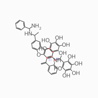 C=C(/C=C(\C=C(/C)c1c(O)c(O)c(O)c(O)c1O)c1c(O)c(O)c(O)c(O)c1O)c1ccccc1Nc1ccc2c(c1)oc1ccc(C(C)NC(N)c3ccccc3)cc12